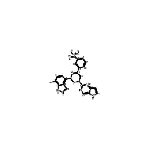 Cc1ccc(C2CN(c3ncc4sccc4n3)CC(c3cccc(S(C)(=O)=O)c3)O2)c2cn[nH]c12